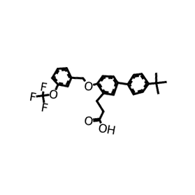 CC(C)(C)c1ccc(-c2ccc(OCc3cccc(OC(F)(F)F)c3)c(CCC(=O)O)c2)cc1